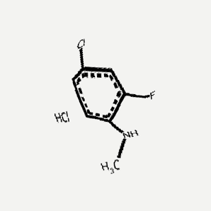 CNc1ccc(Cl)cc1F.Cl